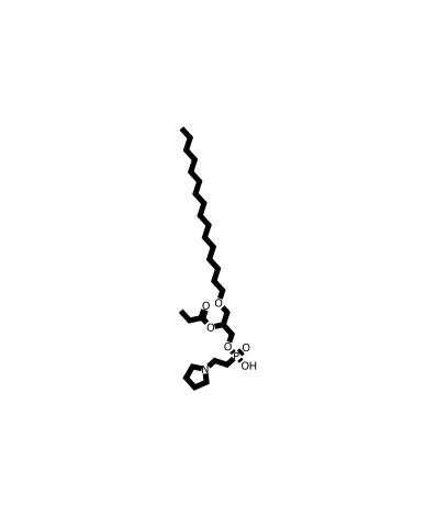 CCCCCCCCCCCCCCCCOCC(COP(=O)(O)CCN1CCCC1)OC(=O)CC